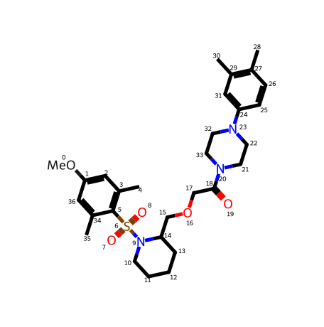 COc1cc(C)c(S(=O)(=O)N2CCCCC2COCC(=O)N2CCN(c3ccc(C)c(C)c3)CC2)c(C)c1